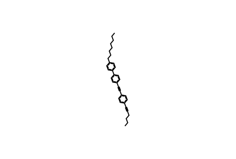 CCCCC#Cc1ccc(C#Cc2ccc(-c3ccc(CCCCCCCC)cc3)cc2)cc1